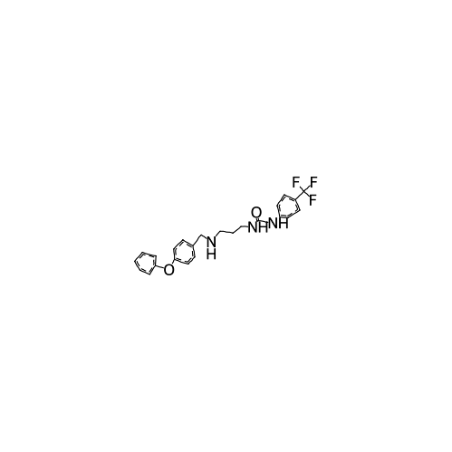 O=C(NCCCNCc1ccc(Oc2ccccc2)cc1)Nc1ccc(C(F)(F)F)cc1